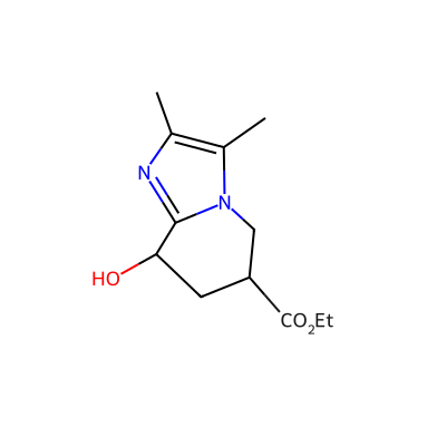 CCOC(=O)C1CC(O)c2nc(C)c(C)n2C1